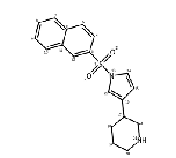 O=S(=O)(c1ccc2ccccc2c1)n1ccc(C2CCCNC2)c1